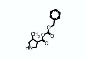 CC1CNCC1C(=O)OC(=O)OCc1ccccc1